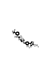 Cc1ncc(-c2ccc(C[n+]3cc([N-]C(=O)Nc4cccc(C(F)(F)F)c4)on3)cc2)n1C